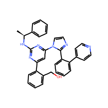 C[C@H](Nc1nc(-c2ccccc2CO)cc(-n2ccnc2-c2ccccc2-c2ccncc2)n1)c1ccccc1